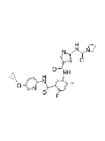 Cc1cc(F)c(C(=O)Nc2ccc(OC3CC3)cn2)cc1NC(=O)c1cnc(NC(=O)N2CCC2)s1